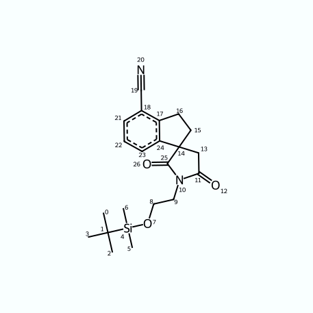 CC(C)(C)[Si](C)(C)OCCN1C(=O)CC2(CCc3c(C#N)cccc32)C1=O